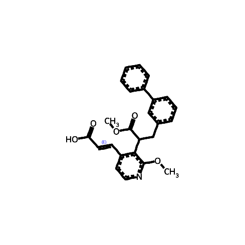 COC(=O)C(Cc1cccc(-c2ccccc2)c1)c1c(/C=C/C(=O)O)ccnc1OC